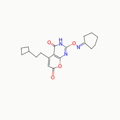 O=c1cc(CCC2CCC2)c2c(=O)[nH]c(ON=C3CCCCC3)nc2o1